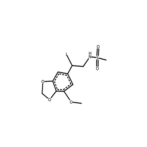 COc1cc(C(I)CNS(C)(=O)=O)cc2c1OCO2